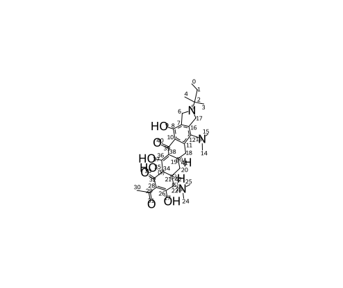 CCC(C)(C)N1Cc2c(O)c3c(c(N(C)C)c2C1)C[C@H]1C[C@H]2[C@H](N(C)C)C(O)=C(C(C)=O)C(=O)[C@@]2(O)C(O)=C1C3=O